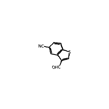 N#Cc1ccc2scc(C=O)c2c1